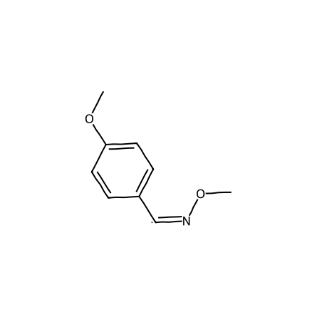 CO/N=[C]\c1ccc(OC)cc1